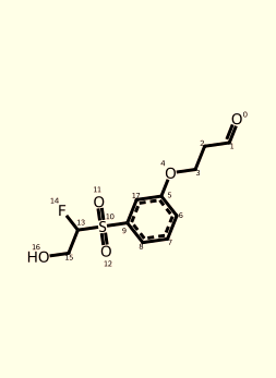 O=CCCOc1cccc(S(=O)(=O)C(F)CO)c1